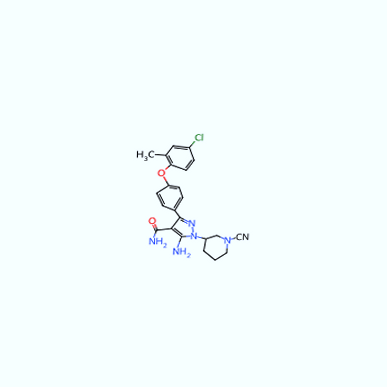 Cc1cc(Cl)ccc1Oc1ccc(-c2nn(C3CCCN(C#N)C3)c(N)c2C(N)=O)cc1